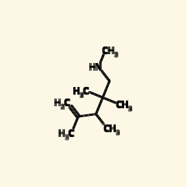 C=C(C)C(C)C(C)(C)CNC